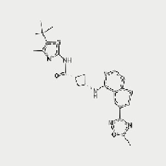 Cc1nc(-c2ccc3ccnc(N[C@H]4C[C@@H](C(=O)Nc5nc(C)c(C(C)(C)C)s5)C4)c3c2)no1